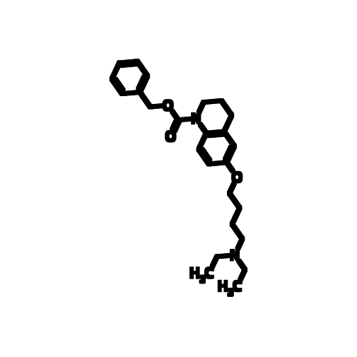 CCN(CC)CCCCOc1ccc2c(c1)CCCN2C(=O)OCc1ccccc1